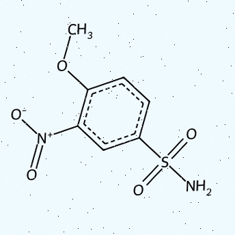 COc1ccc(S(N)(=O)=O)cc1[N+](=O)[O-]